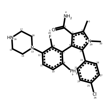 Cc1c(C(N)=O)c(-c2c(P)ccc(N3CCNCC3)c2F)c(-c2ccc(Cl)cc2)n1C